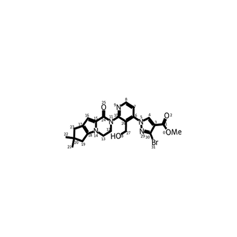 COC(=O)c1cn(-c2ccnc(N3CCn4c(cc5c4CC(C)(C)C5)C3=O)c2CO)nc1Br